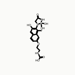 O=C(O)NCCOc1ccc2cc(O)c(N3CC(=O)NS3(O)O)c(F)c2c1